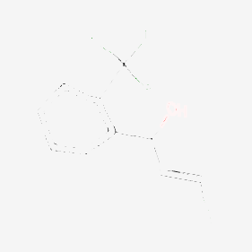 OC(C=CF)c1ccccc1C(F)(F)F